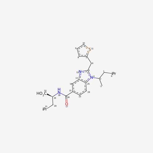 CC(C)CC(C)n1c(Cc2cccs2)nc2cc(C(=O)N[C@@H](CC(C)C)C(=O)O)ccc21